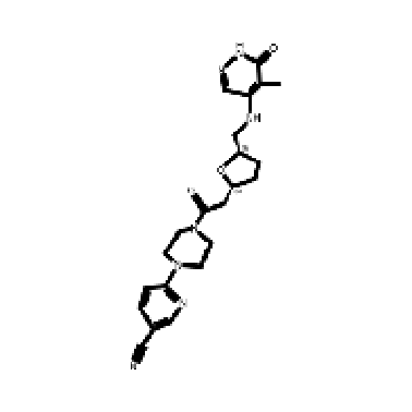 Cc1c(NC[C@H]2CC[C@@H](CC(=O)N3CCN(c4ccc(C#N)cn4)CC3)O2)cn[nH]c1=O